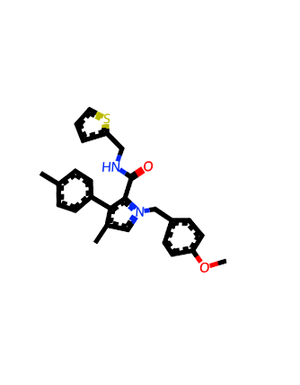 COc1ccc(Cn2cc(C)c(-c3ccc(C)cc3)c2C(=O)NCc2cccs2)cc1